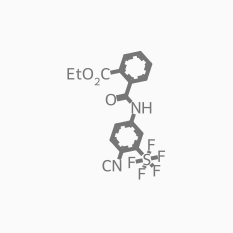 CCOC(=O)c1ccccc1C(=O)Nc1ccc(C#N)c(S(F)(F)(F)(F)F)c1